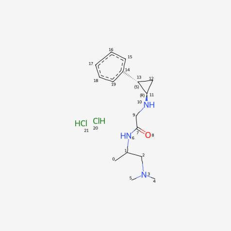 CC(CN(C)C)NC(=O)CN[C@@H]1C[C@H]1c1ccccc1.Cl.Cl